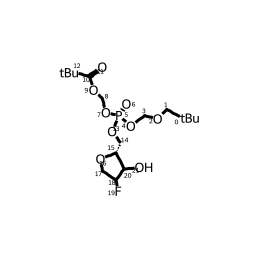 CC(C)(C)COCOP(=O)(OCOC(=O)C(C)(C)C)OC[C@H]1OCC(F)C1O